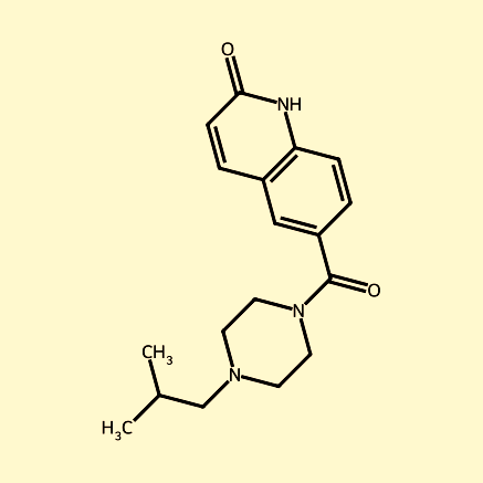 CC(C)CN1CCN(C(=O)c2ccc3[nH]c(=O)ccc3c2)CC1